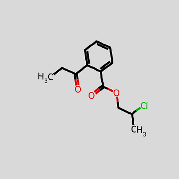 CCC(=O)c1ccccc1C(=O)OCC(C)Cl